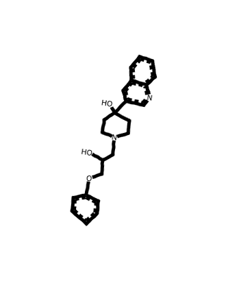 OC(COc1ccccc1)CN1CCC(O)(c2cnc3ccccc3c2)CC1